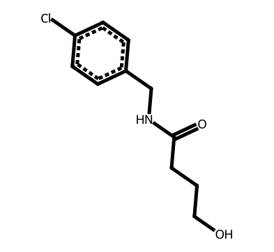 O=C(CCCO)NCc1ccc(Cl)cc1